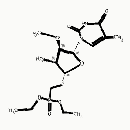 CCOP(=O)(CC[C@H]1O[C@@H](n2cc(C)c(=O)[nH]c2=O)[C@H](OC)[C@@H]1O)OCC